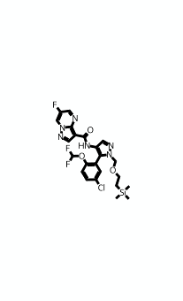 C[Si](C)(C)CCOCn1ncc(NC(=O)c2cnn3cc(F)cnc23)c1-c1cc(Cl)ccc1OC(F)F